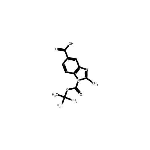 Cc1nc2cc(C(=O)O)ccc2n1C(=O)OC(C)(C)C